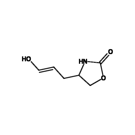 O=C1NC(CC=CO)CO1